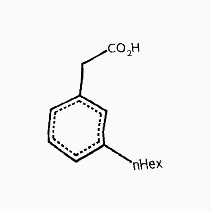 CCCCCCc1cccc(CC(=O)O)c1